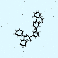 c1ccc(-c2nc(-c3cccc(-c4ccc5c(c4)ncc4ccccc45)c3)nc3ccccc23)cc1